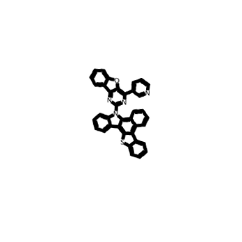 c1cncc(-c2nc(-n3c4ccccc4c4c5sc6ccccc6c5c5ccccc5c43)nc3c2oc2ccccc23)c1